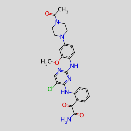 COc1cc(N2CCN(C(C)=O)CC2)ccc1Nc1ncc(Cl)c(Nc2ccccc2C(=O)C(N)=O)n1